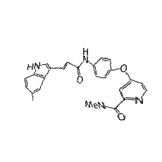 CNC(=O)c1cc(Oc2ccc(NC(=O)/C=C/c3c[nH]c4ccc(C)cc34)cc2)ccn1